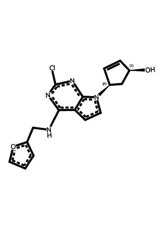 O[C@@H]1C=C[C@H](n2ccc3c(NCc4ccco4)nc(Cl)nc32)C1